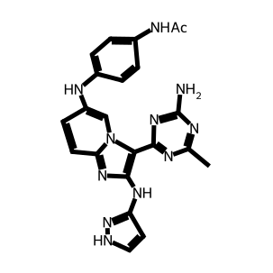 CC(=O)Nc1ccc(Nc2ccc3nc(Nc4cc[nH]n4)c(-c4nc(C)nc(N)n4)n3c2)cc1